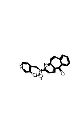 Cc1cnccc1CNc1ccc2c(=O)c3ccccc3ccc2n1